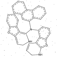 C1=Cc2c(oc3cccc(N(C4=c5c(oc6ccccc56)=CCN4)c4cc5ccccc5c5ccccc45)c23)NC1